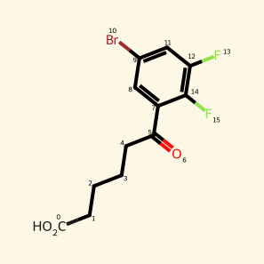 O=C(O)CCCCC(=O)c1cc(Br)cc(F)c1F